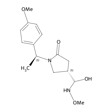 CONC(O)[C@H]1CC(=O)N([C@@H](C)c2ccc(OC)cc2)C1